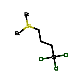 CC[S+](CC)CCC[Si](Cl)(Cl)Cl